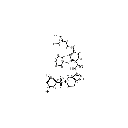 CCN(CC)CCN(C)c1ccc(C(=O)Nc2n[nH]c3c2CN(S(=O)(=O)c2cc(F)cc(F)c2)CC3)c(NC2CCOCC2)c1